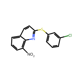 O=[N+]([O-])c1cccc2ccc(Sc3cccc(Cl)c3)nc12